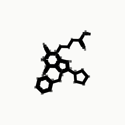 COC(=O)CCCn1c(=O)[nH]c(=O)c2c1nc(C1CCCC1)n2Cc1ccccc1